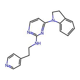 c1ccc2c(c1)CCN2c1ccnc(NCCc2ccncc2)n1